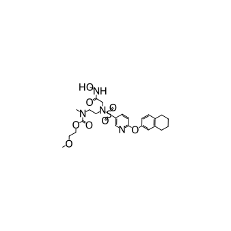 COCCOC(=O)N(C)CCN(CC(=O)NO)S(=O)(=O)c1ccc(Oc2ccc3c(c2)CCCC3)nc1